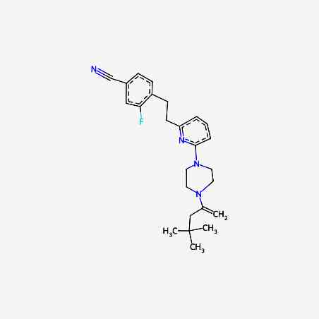 C=C(CC(C)(C)C)N1CCN(c2cccc(CCc3ccc(C#N)cc3F)n2)CC1